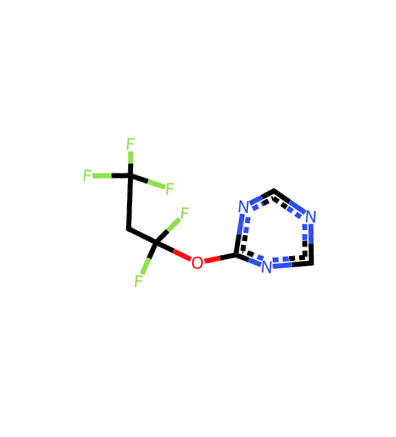 FC(F)(F)CC(F)(F)Oc1ncncn1